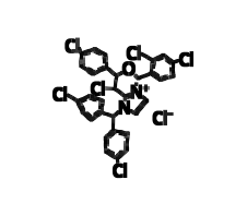 Clc1ccc(C(OCc2ccc(Cl)cc2Cl)C(Cl)C2=[N+]C=CN2C(c2ccc(Cl)cc2)c2ccc(Cl)cc2)cc1.[Cl-]